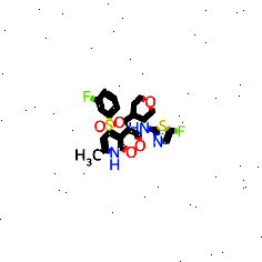 Cc1cc(S(=O)(=O)c2cccc(F)c2)c([C@@H](CC2CCOCC2)C(=O)Nc2ncc(F)s2)c(=O)[nH]1